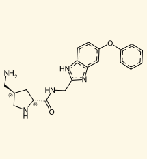 NC[C@@H]1CN[C@@H](C(=O)NCc2nc3cc(Oc4ccccc4)ccc3[nH]2)C1